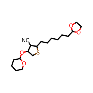 N#CC1C(OC2CCCCO2)CSC1CCCCCCC1OCCO1